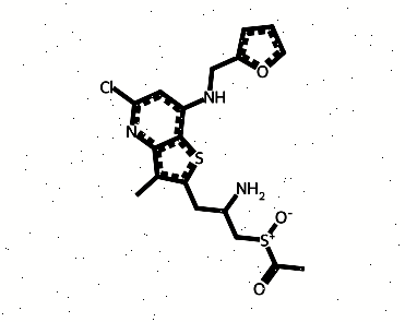 CC(=O)[S+]([O-])CC(N)Cc1sc2c(NCc3ccco3)cc(Cl)nc2c1C